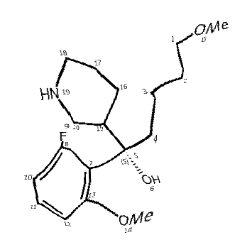 COCCCC[C@@](O)(c1c(F)cccc1OC)C1CCCNC1